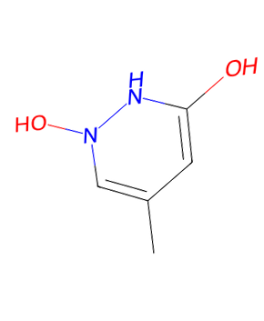 CC1=CN(O)NC(O)=C1